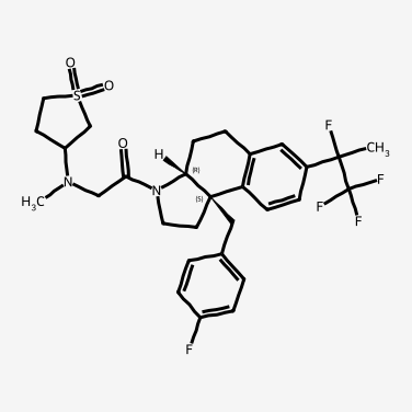 CN(CC(=O)N1CC[C@@]2(Cc3ccc(F)cc3)c3ccc(C(C)(F)C(F)(F)F)cc3CC[C@@H]12)C1CCS(=O)(=O)C1